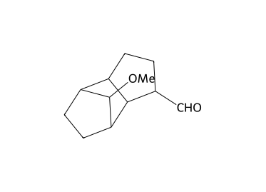 COC1C2CCC1C1C(C=O)CCC21